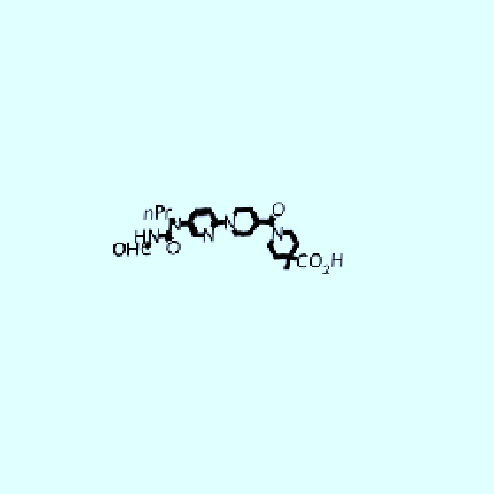 CCCN(C(=O)NC=O)c1ccc(N2CCC(C(=O)N3CCC(C)(C(=O)O)CC3)CC2)nc1